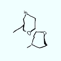 CC1CNCCO1.CN1CCOCC1